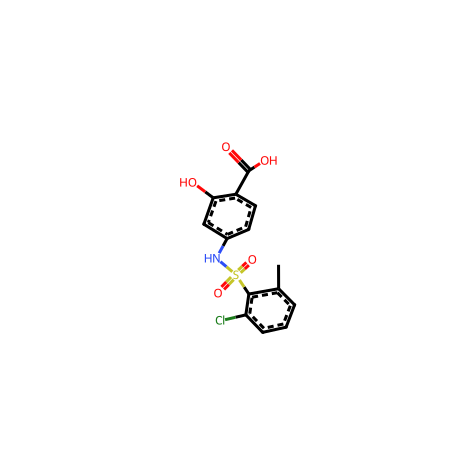 Cc1cccc(Cl)c1S(=O)(=O)Nc1ccc(C(=O)O)c(O)c1